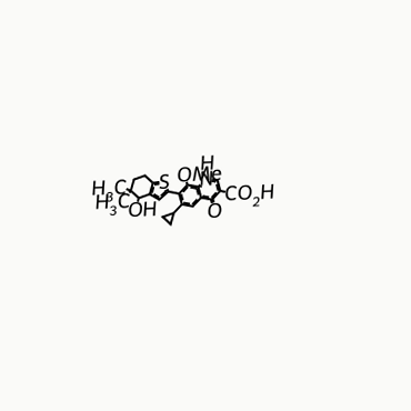 COc1c(-c2cc3c(s2)CCC(C)(C)C3O)c(C2CC2)cc2c(=O)c(C(=O)O)c[nH]c12